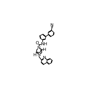 N#Cc1cccc(-c2cccc(NC(=O)N3C[C@@H]4C[C@H]3CN4Cc3ccc4ccccc4n3)c2)c1